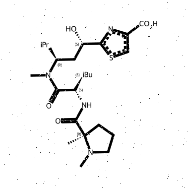 CC[C@H](C)[C@H](NC(=O)[C@@]1(C)CCCN1C)C(=O)N(C)[C@H](C[C@H](O)c1nc(C(=O)O)cs1)C(C)C